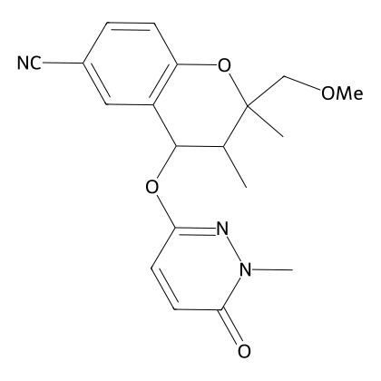 COCC1(C)Oc2ccc(C#N)cc2C(Oc2ccc(=O)n(C)n2)C1C